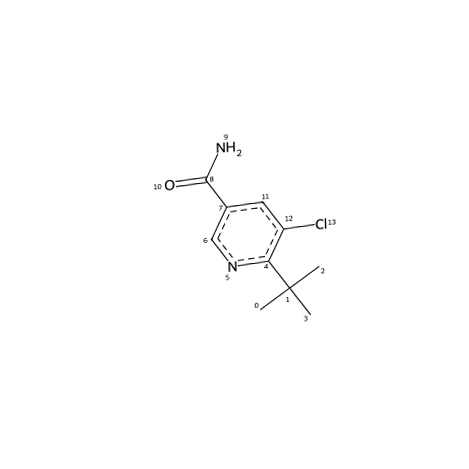 CC(C)(C)c1ncc(C(N)=O)cc1Cl